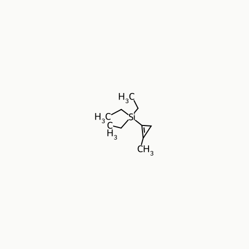 CC[Si](CC)(CC)C1=C(C)C1